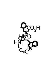 O=C(O)C[C@@H](Cc1ccccc1)C(=O)NC1Cc2cn(c3ccccc23)CCCCCCNC1=O